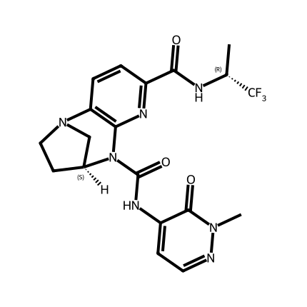 C[C@@H](NC(=O)c1ccc2c(n1)N(C(=O)Nc1ccnn(C)c1=O)[C@H]1CCN2C1)C(F)(F)F